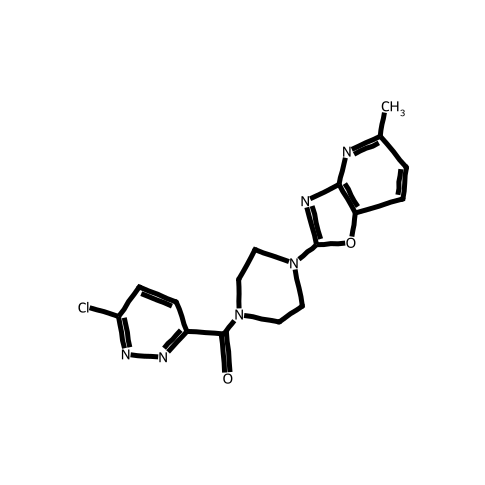 Cc1ccc2oc(N3CCN(C(=O)c4ccc(Cl)nn4)CC3)nc2n1